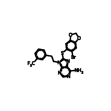 Nc1ncnc2c1nc(Sc1cc3c(cc1Br)OCO3)n2CCc1cccc(C(F)(F)F)c1